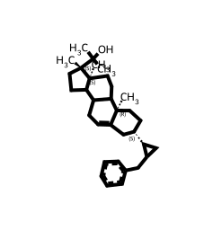 CC(C)(O)[C@@]1(C)CCC2C3CC=C4C[C@@H](C5CC5Cc5ccccc5)CC[C@]4(C)C3CC[C@@]21C